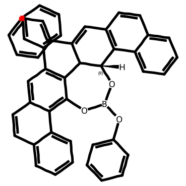 C1=C(c2ccccc2)C2c3c(-c4ccccc4)cc4ccc5ccccc5c4c3OB(Oc3ccccc3)O[C@H]2c2c1ccc1ccccc21